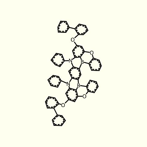 c1ccc(-c2ccccc2Oc2cc3c4c(c2)N(c2ccccc2)c2cc5c(cc2B4c2ccccc2O3)B2c3ccccc3Oc3cc(Oc4ccccc4-c4ccccc4)cc(c32)N5c2ccccc2)cc1